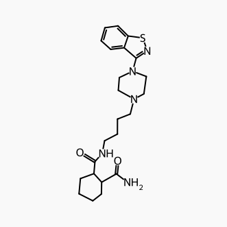 NC(=O)C1CCCCC1C(=O)NCCCCN1CCN(c2nsc3ccccc23)CC1